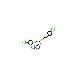 Clc1ccc(C=CCSC(CCc2ccc(Cl)cc2Cl)Cn2ccnc2)cc1